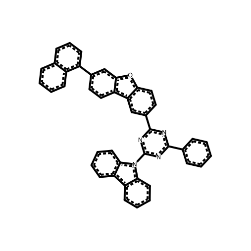 c1ccc(-c2nc(-c3ccc4oc5cc(-c6cccc7ccccc67)ccc5c4c3)nc(-n3c4ccccc4c4ccccc43)n2)cc1